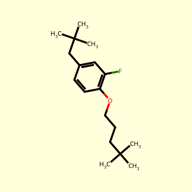 CC(C)(C)CCCOc1ccc(CC(C)(C)C)cc1F